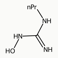 CCCNC(=N)NO